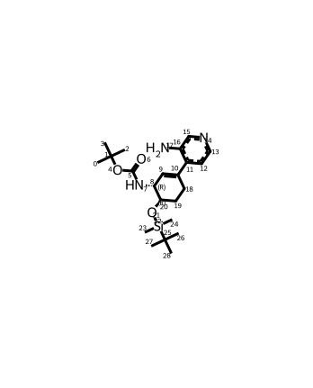 CC(C)(C)OC(=O)N[C@@H]1C=C(c2ccncc2N)CC[C@H]1O[Si](C)(C)C(C)(C)C